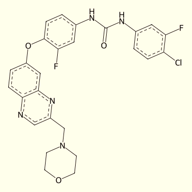 O=C(Nc1ccc(Cl)c(F)c1)Nc1ccc(Oc2ccc3ncc(CN4CCOCC4)nc3c2)c(F)c1